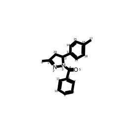 CC1=NN(C(=O)c2ccccc2)C(c2ccc(C)cc2)C1